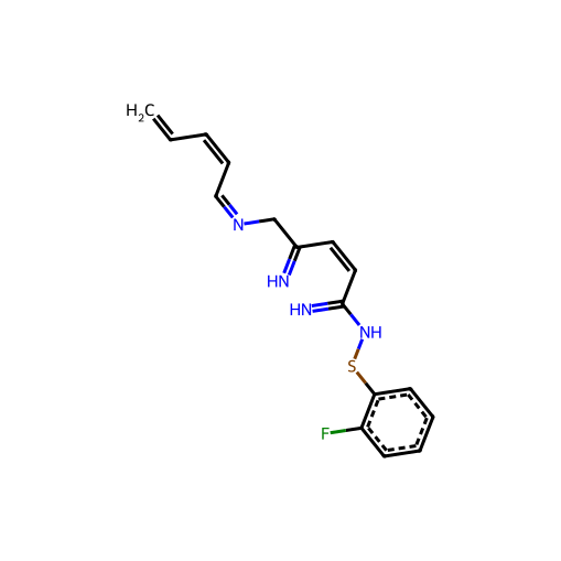 C=C/C=C\C=N/CC(=N)/C=C\C(=N)NSc1ccccc1F